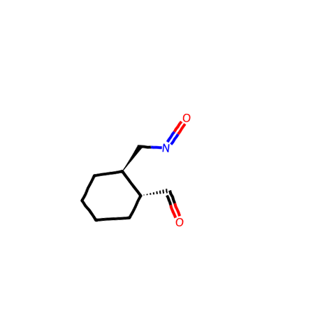 O=C[C@@H]1CCCC[C@H]1CN=O